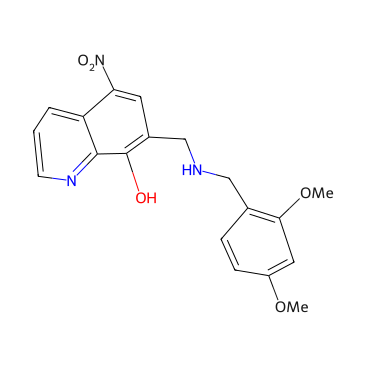 COc1ccc(CNCc2cc([N+](=O)[O-])c3cccnc3c2O)c(OC)c1